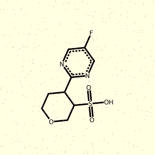 O=S(=O)(O)C1COCCC1c1ncc(F)cn1